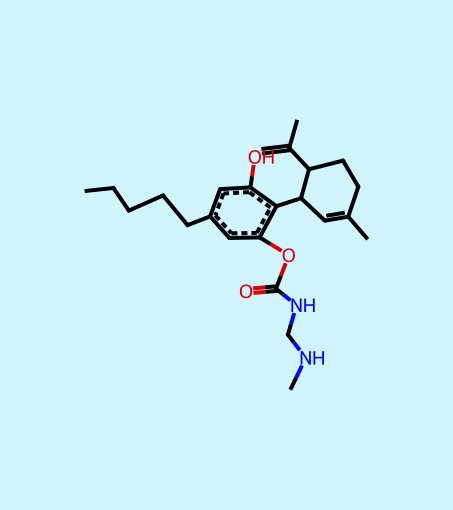 C=C(C)C1CCC(C)=CC1c1c(O)cc(CCCCC)cc1OC(=O)NCNC